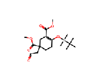 COC(=O)C1=C(O[Si](C)(C)C(C)(C)C)CCC(CC=O)(C(=O)OC)C1